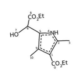 CCOC(=O)c1c(C)[nH]c(C(O)C(=O)OCC)c1C